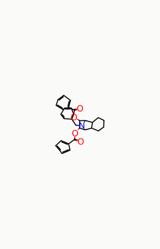 O=C(OC1C(OC(=O)c2ccccc2)C2C3CCCCC3C1N2Cc1ccccc1)c1ccccc1